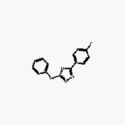 Fc1ccc(-c2nnc([Se]c3ccccc3)o2)cc1